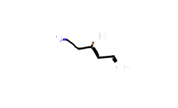 C=C/C=C(\S)CCN